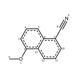 COc1cccc2c(C#N)cccc12